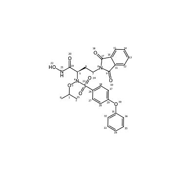 CC(C)ON([C@H](CCN1C(=O)c2ccccc2C1=O)C(=O)NO)S(=O)(=O)c1ccc(Oc2ccccc2)cc1